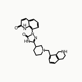 O=c1ccc2cccc(-n3nc(C4CCCN(Cc5cccc6c5CNCC6)C4)[nH]c3=O)c2[nH]1